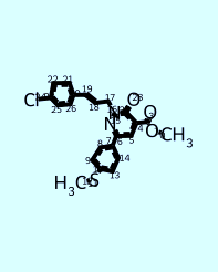 COC(=O)c1cc(-c2ccc(SC)cc2)nn(CC=Cc2ccc(Cl)cc2)c1=O